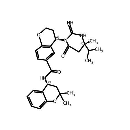 CC(C)[C@]1(C)CC(=O)N([C@@H]2CCOc3ccc(C(=O)N[C@H]4CC(C)(C)Oc5ccccc54)cc32)C(=N)N1